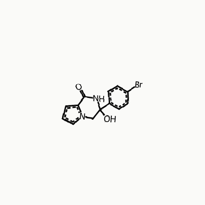 O=C1NC(O)(c2ccc(Br)cc2)Cn2cccc21